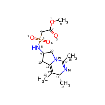 COC(=O)CS(=O)(=O)NC1CC2=C(C)[C@@H](C)N=C(C)N2C1